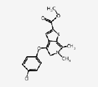 COC(=O)c1cc2c(s1)=C(C)N(C)CC=2Oc1ccc(Cl)cc1